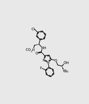 CC(C)(C)[C@H](O)COc1cc(C(=O)N[C@@H](CC(=O)O)c2cccc(Cl)c2)nn1-c1ccccc1F